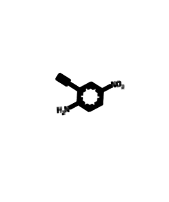 C#Cc1cc([N+](=O)[O-])ccc1N